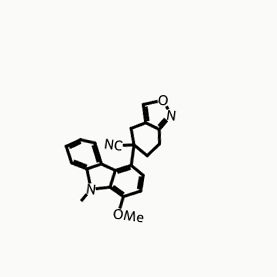 COc1ccc(C2(C#N)CCc3nocc3C2)c2c3ccccc3n(C)c12